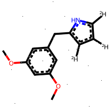 [2H]c1[nH]c(Cc2cc(OC)cc(OC)c2)c([2H])c1[2H]